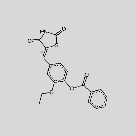 CCOc1cc(/C=C2\SC(=O)NC2=O)ccc1OC(=O)c1ccccc1